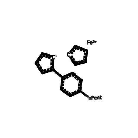 CCCCCc1ccc(-c2ccc[cH-]2)cc1.[Fe+2].c1cc[cH-]c1